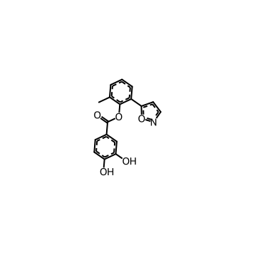 Cc1cccc(-c2ccno2)c1OC(=O)c1ccc(O)c(O)c1